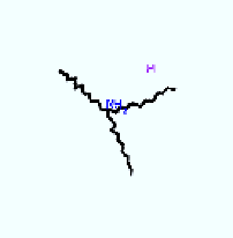 CCCCCCCCCCCC(N)(CCCCCCCCCCC)CCCCCCCCCCC.I